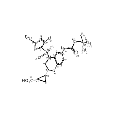 CCn1cc(S(=O)(=O)N2CC([C@@H]3C[C@@H]3C(=O)O)Oc3ccc(NC(=O)OC(C)(C)C(F)(F)F)cc32)c(Cl)n1